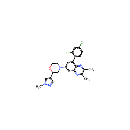 Cc1nc2cc(N3CCOC(c4cnn(C)c4)C3)cc(-c3ccc(Cl)cc3F)c2nc1C